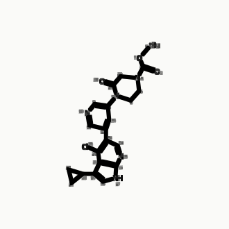 CC(C)(C)OC(=O)N1CCN(c2cncc(-c3cnc4[nH]cc(C5CC5)c4c3Cl)c2)C(=O)C1